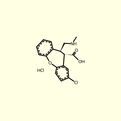 CNC[C@@H]1c2ccccc2Oc2ccc(Cl)cc2[C@H]1C(=O)O.Cl